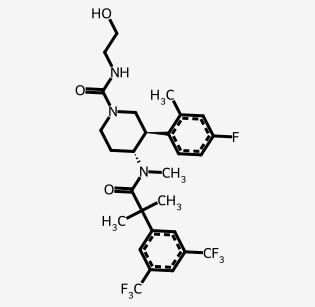 Cc1cc(F)ccc1[C@@H]1CN(C(=O)NCCO)CC[C@H]1N(C)C(=O)C(C)(C)c1cc(C(F)(F)F)cc(C(F)(F)F)c1